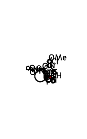 COc1ccc2c(O[C@@H]3C[C@H]4C(=O)N[C@]5(P(=O)(O)Cc6c(F)cccc6F)CC5CCCCCCC[C@H](NC(=O)OC5CCCC5)C(=O)N4C3)cc(-c3csc(NC(C)C)n3)nc2c1Cl